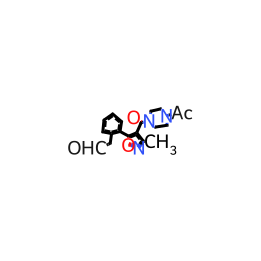 CC(=O)N1CCN(C(=O)c2c(C)noc2-c2ccccc2CC=O)CC1